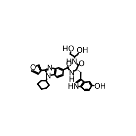 O=C(N[C@@H](Cc1c[nH]c2ccc(O)cc12)C(=O)NC(CO)CO)c1ccc2c(c1)nc(-c1ccoc1)n2C1CCCCC1